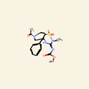 CN1/C(=N/C(=O)OC(C)(C)C)NC2(c3ccccc3)CN(C(=O)C(F)(F)F)CC2S1(=O)=O